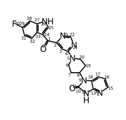 O=C(c1cc(N2CCC(n3c(=O)[nH]c4ncccc43)CC2)ncn1)c1c[nH]c2cc(F)ccc12